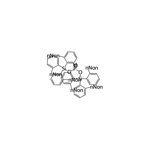 CCCCCCCCCc1ccccc1[Si](O[PH](=O)O[Si](c1ccccc1CCCCCCCCC)(c1ccccc1CCCCCCCCC)c1ccccc1CCCCCCCCC)(c1ccccc1CCCCCCCCC)c1ccccc1CCCCCCCCC